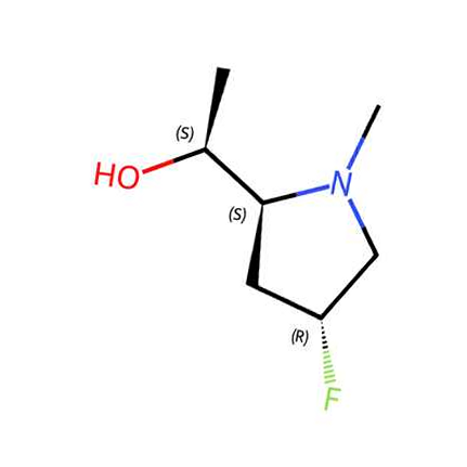 C[C@H](O)[C@@H]1C[C@@H](F)CN1C